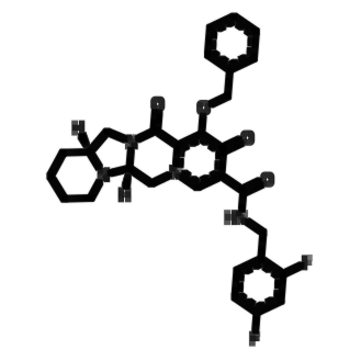 O=C(NCc1ccc(F)cc1F)c1cn2c(c(OCc3ccccc3)c1=O)C(=O)N1C[C@H]3CCCCN3[C@H]1C2